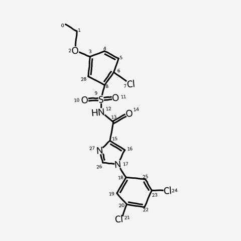 CCOc1ccc(Cl)c(S(=O)(=O)NC(=O)c2cn(-c3cc(Cl)cc(Cl)c3)cn2)c1